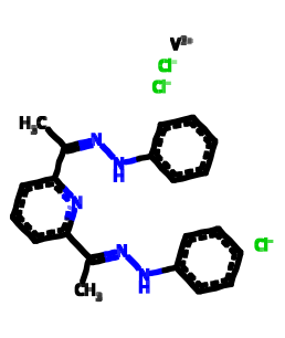 CC(=NNc1ccccc1)c1cccc(C(C)=NNc2ccccc2)n1.[Cl-].[Cl-].[Cl-].[V+3]